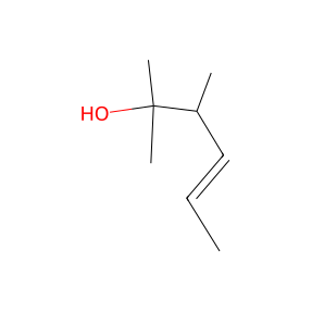 CC=CC(C)C(C)(C)O